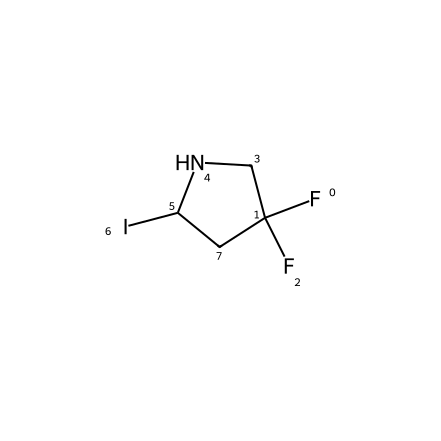 FC1(F)CNC(I)C1